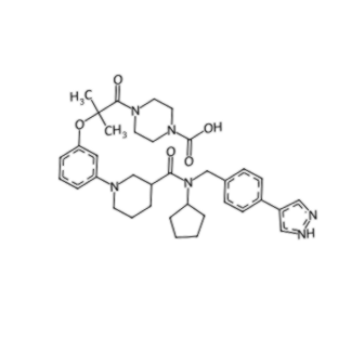 CC(C)(Oc1cccc(N2CCCC(C(=O)N(Cc3ccc(-c4cn[nH]c4)cc3)C3CCCC3)C2)c1)C(=O)N1CCN(C(=O)O)CC1